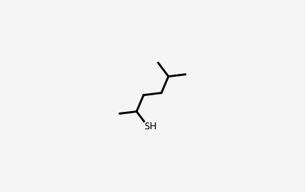 CC(C)CCC(C)S